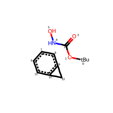 CC(C)(C)OC(=O)NO.c1ccc2c(c1)C2